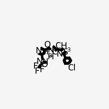 CC(C)(CNC(=O)c1cncc(-c2noc(C(F)(F)F)n2)c1)c1csc(-c2ccc(Cl)cc2)n1